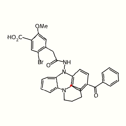 COc1cc(CC(=O)NN(c2ccc(C(=O)c3ccccc3)cc2)c2ccccc2N2CCCCC2)c(Br)cc1C(=O)O